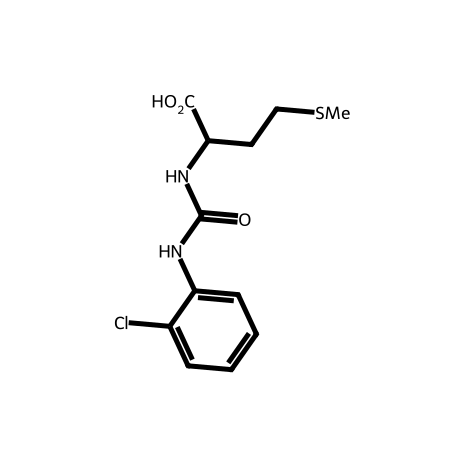 CSCCC(NC(=O)Nc1ccccc1Cl)C(=O)O